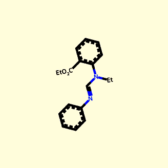 CCOC(=O)c1ccccc1N(/C=N/c1ccccc1)CC